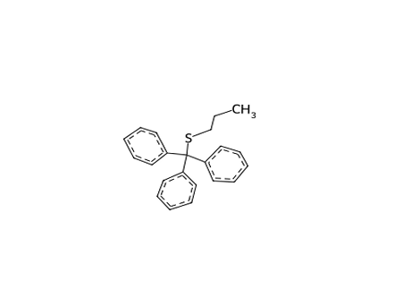 CCCSC(c1ccccc1)(c1ccccc1)c1ccccc1